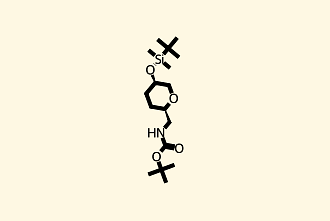 CC(C)(C)OC(=O)NC[C@H]1CC[C@@H](O[Si](C)(C)C(C)(C)C)CO1